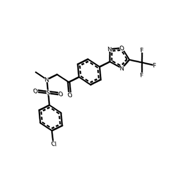 CN(CC(=O)c1ccc(-c2noc(C(F)(F)F)n2)cc1)S(=O)(=O)c1ccc(Cl)cc1